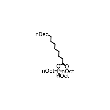 CCCCCCCCCCCCCCCCCC(=O)O[PH](CCCCCCCC)(CCCCCCCC)CCCCCCCC